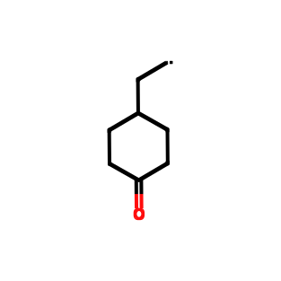 [CH2]CC1CCC(=O)CC1